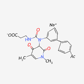 CC(=O)c1ccc(-c2cccc(N(C(=O)NCCC(=O)[O-])C3C(=O)C(C)=CN(C)C3=O)c2)cc1.[Na+]